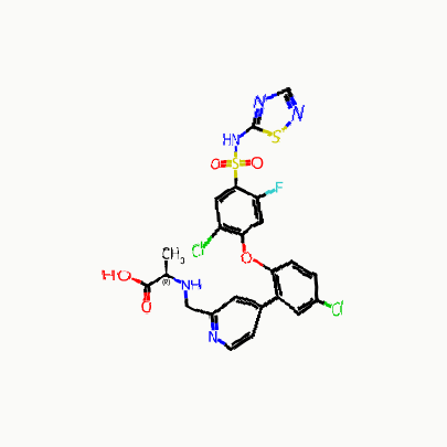 C[C@@H](NCc1cc(-c2cc(Cl)ccc2Oc2cc(F)c(S(=O)(=O)Nc3ncns3)cc2Cl)ccn1)C(=O)O